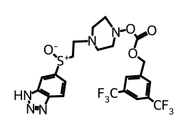 O=C(OCc1cc(C(F)(F)F)cc(C(F)(F)F)c1)ON1CCN(CC[S+]([O-])c2ccc3nn[nH]c3c2)CC1